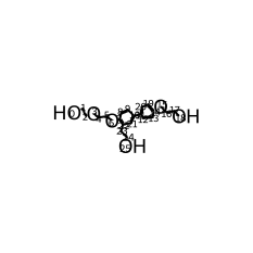 OCCOCCOc1ccc(-c2ccc(OCCO)cc2)cc1CCO